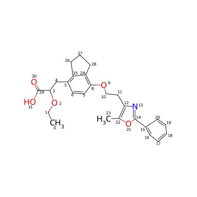 CCOC(Cc1ccc(OCCc2nc(-c3ccccc3)oc2C)c2c1CCC2)C(=O)O